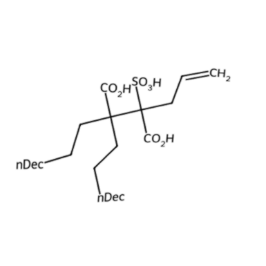 C=CCC(C(=O)O)(C(CCCCCCCCCCCC)(CCCCCCCCCCCC)C(=O)O)S(=O)(=O)O